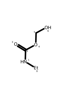 CCNC(=O)OCO